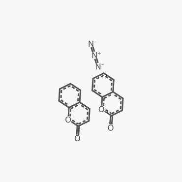 O=c1ccc2ccccc2o1.O=c1ccc2ccccc2o1.[N-]=[N+]=[N-]